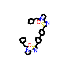 O=C(CC1=CC=CCC1)N1CCC[C@H]1c1ncc(-c2ccc(-c3ccc(-c4cnc([C@@H]5CCCN5C(=O)Cc5ccccc5)s4)cc3)cc2)s1